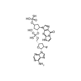 Nc1ncnc2c1ncn2[C@@H]1O[C@H](COP(=O)(S)O[C@@H]2[C@H](O)[C@@H](OP(=O)(O)S)C[C@H]2n2cnc3c(=O)n4cc[nH]c4nc32)C[C@H]1F